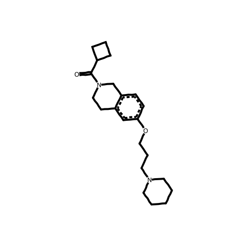 O=C(C1CCC1)N1CCc2cc(OCCCN3CCCCC3)ccc2C1